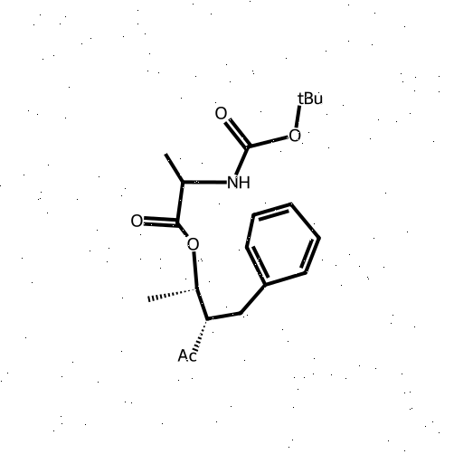 CC(=O)[C@@H](Cc1ccccc1)[C@H](C)OC(=O)C(C)NC(=O)OC(C)(C)C